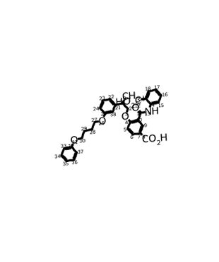 CC(COc1ccc(C(=O)O)cc1C(=O)Nc1ccccc1C(=O)O)c1cccc(OCCCCOc2ccccc2)c1